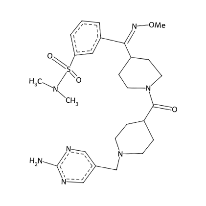 CON=C(c1cccc(S(=O)(=O)N(C)C)c1)C1CCN(C(=O)C2CCN(Cc3cnc(N)nc3)CC2)CC1